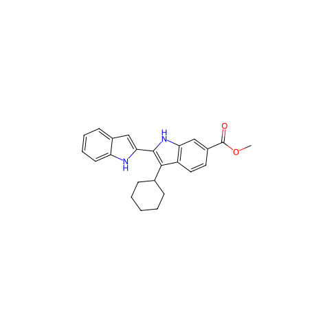 COC(=O)c1ccc2c(C3CCCCC3)c(-c3cc4ccccc4[nH]3)[nH]c2c1